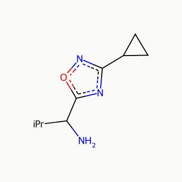 CC(C)C(N)c1nc(C2CC2)no1